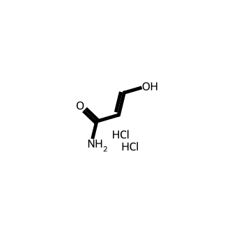 Cl.Cl.NC(=O)C=CO